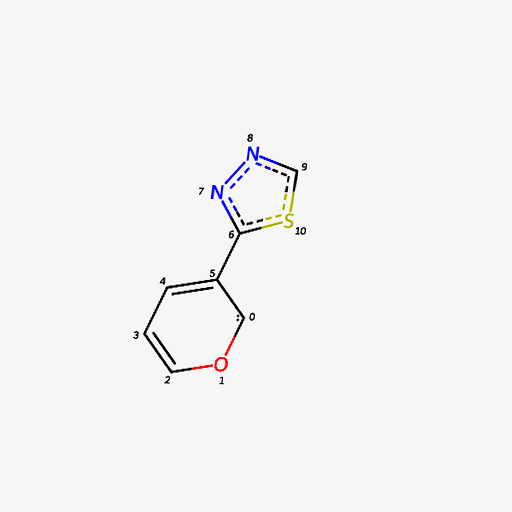 [C]1OC=CC=C1c1nncs1